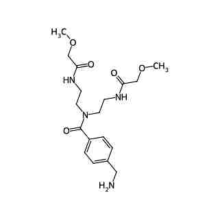 COCC(=O)NCCN(CCNC(=O)COC)C(=O)c1ccc(CN)cc1